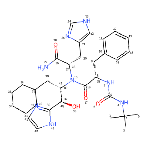 CC(C)(C)NC(=O)N[C@@H](Cc1ccccc1)C(=O)N([C@@H](Cc1c[nH]cn1)C(N)=O)[C@@H](CC1CCCCC1)[C@@H](O)c1ncc[nH]1